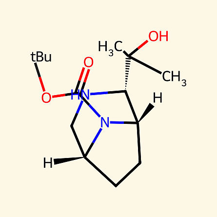 CC(C)(C)OC(=O)N1[C@@H]2CC[C@H]1[C@@H](C(C)(C)O)NC2